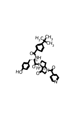 CC(C)(C)c1ccc(C(=O)N[C@@H](Cc2ccc(O)cc2)C(=O)N2CCC3[C@H]2C(=O)CN3C(=O)c2ccncc2)cc1